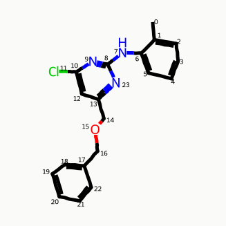 Cc1ccccc1Nc1nc(Cl)cc(COCc2ccccc2)n1